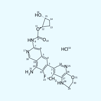 Cc1c(-c2cc3cc(NC(=O)O[C@@H]4CC[C@H]4O)ncc3c(N)c2F)cnc2c1NCCO2.Cl